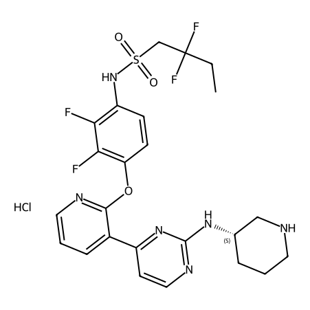 CCC(F)(F)CS(=O)(=O)Nc1ccc(Oc2ncccc2-c2ccnc(N[C@H]3CCCNC3)n2)c(F)c1F.Cl